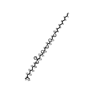 CCCCCCCCCCCOCCOCCOCCOCCCC(=O)OCCCCCCCC(C)C